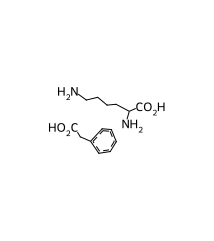 NCCCCC(N)C(=O)O.O=C(O)Cc1ccccc1